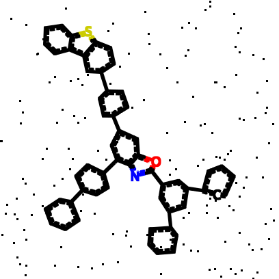 c1ccc(-c2ccc(-c3cc(-c4ccc(-c5ccc6sc7ccccc7c6c5)cc4)cc4oc(-c5cc(-c6ccccc6)cc(-c6ccccc6)c5)nc34)cc2)cc1